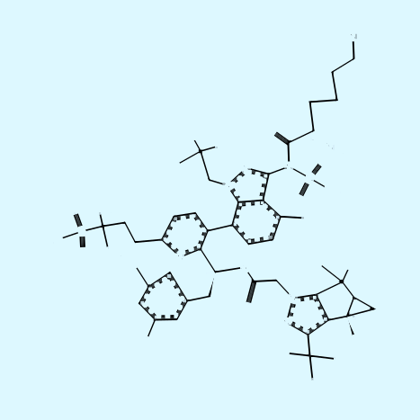 CC(C)(CCc1ccc(-c2ccc(Cl)c3c(N(C(=O)[C@@H](N)CCCCN)S(C)(=O)=O)nn(CC(F)(F)F)c23)c([C@H](Cc2cc(F)cc(F)c2)NC(=O)Cn2nc(C(F)(F)F)c3c2C(F)(F)C2C[C@H]32)n1)S(C)(=O)=O